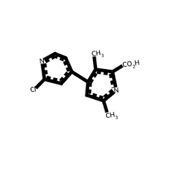 Cc1cc(-c2ccnc(Cl)c2)c(C)c(C(=O)O)n1